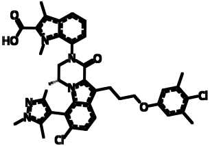 Cc1cc(OCCCc2c3n(c4c(-c5c(C)nn(C)c5C)c(Cl)ccc24)[C@H](C)CN(c2cccc4c(C)c(C(=O)O)n(C)c24)C3=O)cc(C)c1Cl